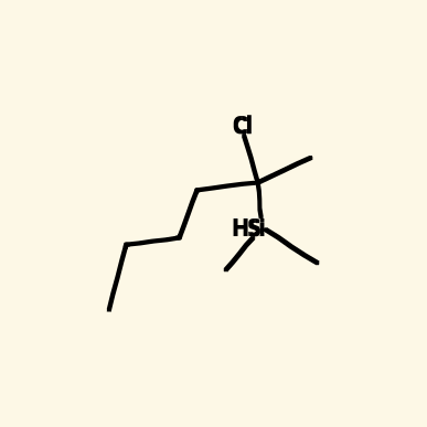 CCCCC(C)(Cl)[SiH](C)C